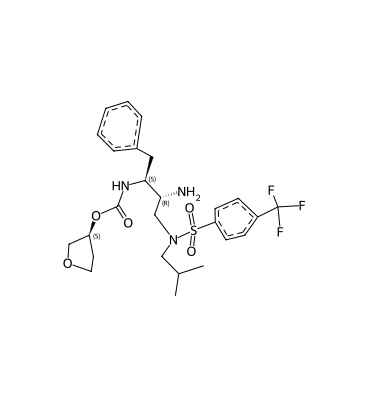 CC(C)CN(C[C@@H](N)[C@H](Cc1ccccc1)NC(=O)O[C@H]1CCOC1)S(=O)(=O)c1ccc(C(F)(F)F)cc1